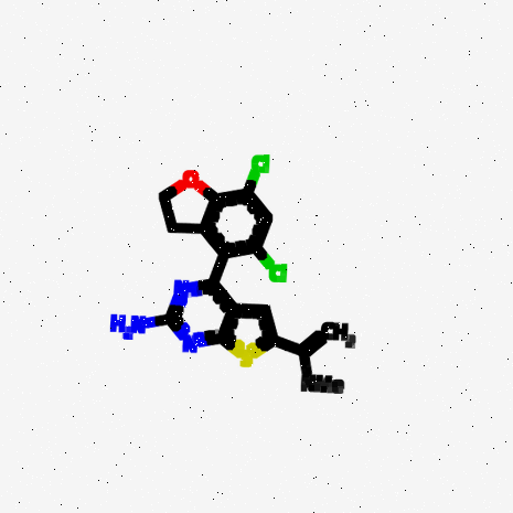 C=C(NC)c1cc2c(-c3c(Cl)cc(Cl)c4c3CCO4)nc(N)nc2s1